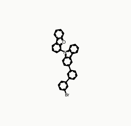 Brc1cccc(-c2cccc(-c3ccc4c(c3)c3ccccc3n4-c3cccc4c3oc3ccccc34)c2)c1